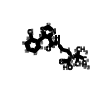 CC(C)(C)N(CCNC(=O)c1ncsc1-c1ccccc1Cl)C(=O)O